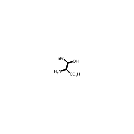 CCC[C@@H](O)[C@H](N)C(=O)O